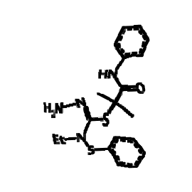 CCN(Sc1ccccc1)/C(=N\N)SC(C)(C)C(=O)Nc1ccccc1